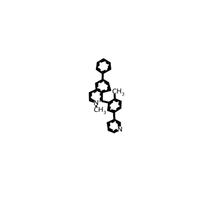 Cc1ccc(-c2cccnc2)cc1-c1c2ccc(-c3ccccc3)cc2cc[n+]1C